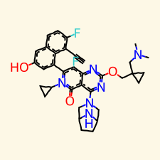 C#Cc1c(F)ccc2cc(O)cc(-c3c(F)c4nc(OCC5(CN(C)C)CC5)nc(N5CC6CCC(C5)N6)c4c(=O)n3C3CC3)c12